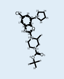 CC1CN(C(=O)OC(C)(C)C)CCN1c1nc2cc(Cl)cc(N3CCCC3)c2o1